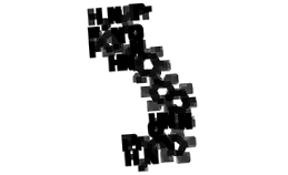 CC(C)C(N)C(=O)N1CC(F)(F)C[C@H]1c1nc2ccc(-c3ccc4c(ccc5nc([C@@H]6CCCN6C(=O)C(N)C(C)C)[nH]c54)c3)cc2[nH]1